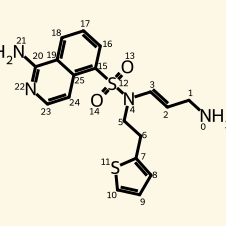 NCC=CN(CCc1cccs1)S(=O)(=O)c1cccc2c(N)nccc12